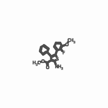 COC(=O)c1c(N)sc(-c2cccc(OC)c2F)c1-c1ccccc1